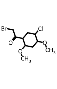 COC1CC(OC)C(C(=O)CBr)CC1Cl